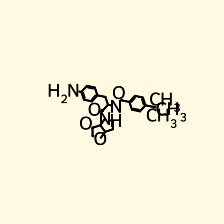 CC(C)(C)c1ccc(C(=O)NC(Cc2ccc(N)cc2)C(=O)N2CCC3OCC(=O)C32)cc1